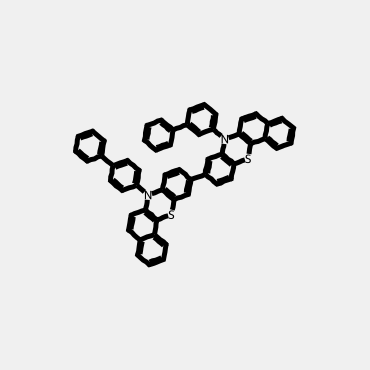 c1ccc(-c2ccc(N3c4ccc(-c5ccc6c(c5)N(c5cccc(-c7ccccc7)c5)c5ccc7ccccc7c5S6)cc4Sc4c3ccc3ccccc43)cc2)cc1